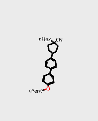 CCCCCCC1(C#N)CCC(c2ccc(-c3ccc(OCCCCC)cc3)cc2)CC1